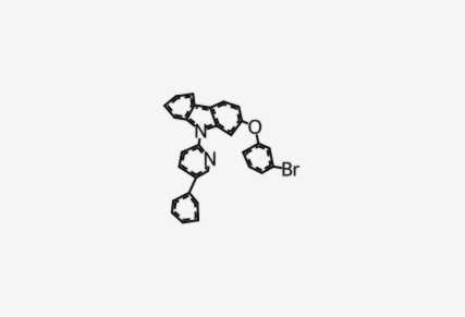 Brc1cccc(Oc2ccc3c4ccccc4n(-c4ccc(-c5ccccc5)cn4)c3c2)c1